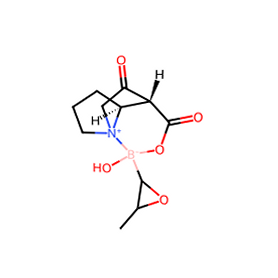 CC1OC1[B-]1(O)OC(=O)[C@H]2C(=O)C[N+]13CCC[C@@H]23